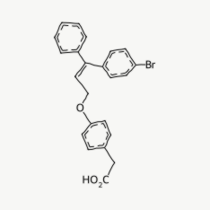 O=C(O)Cc1ccc(OCC=C(c2ccccc2)c2ccc(Br)cc2)cc1